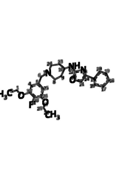 CCOc1cc(CN2CCC(Nc3nc(-c4ccccc4)co3)CC2)cc(OCC)c1F